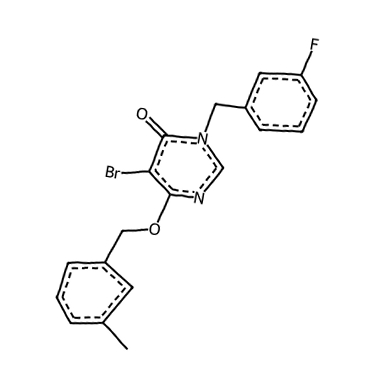 Cc1cccc(COc2ncn(Cc3cccc(F)c3)c(=O)c2Br)c1